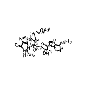 Nc1nc2c(ncn2[C@@H]2O[C@H](CCO)[C@@H](F)[C@H]2P(O)(=S)OC[C@H]2O[C@@H](n3cnc4c(N)ncnc43)[C@@H](F)[C@@H]2O)c(=O)[nH]1